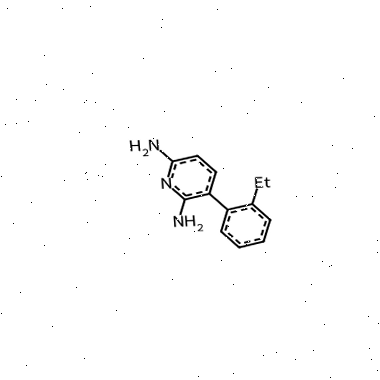 CCc1ccccc1-c1ccc(N)nc1N